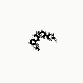 CSc1ncc(-c2ccc3nc(C)c(Cc4ccccc4OC(F)F)n3c2)cn1